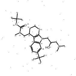 CN(C)CC(O)Cn1c2c(c3ccc(C(F)(F)F)cc31)C(CN(C)C(=O)OC(C)(C)C)CCS2